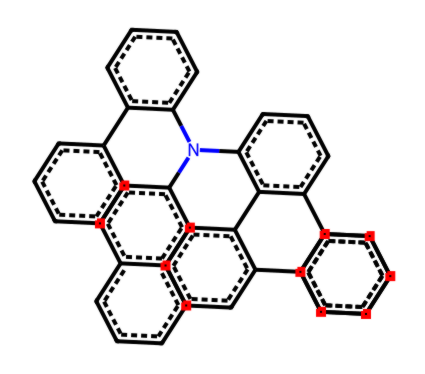 c1ccc(-c2ccccc2-c2c(-c3ccccc3)cccc2N(c2ccc3ccccc3c2)c2ccccc2-c2ccccc2)cc1